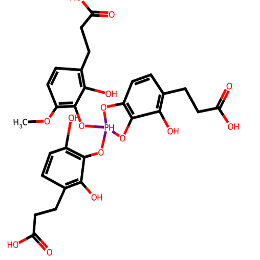 COc1ccc(CCC(=O)O)c(O)c1O[PH]1(Oc2c(O)ccc(CCC(=O)O)c2O)Oc2ccc(CCC(=O)O)c(O)c2O1